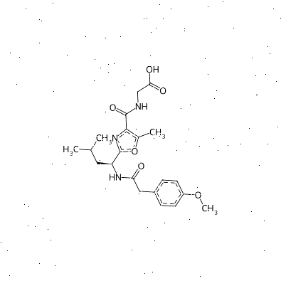 COc1ccc(CC(=O)N[C@@H](CC(C)C)c2nc(C(=O)NCC(=O)O)c(C)o2)cc1